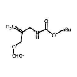 C=C(CNC(=O)OCCCC)CO[C]=O